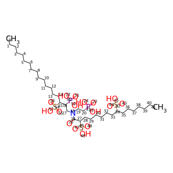 CCCCCCCCCCCCCCCC(C(CN(CCP(=O)(O)O)C(=O)C(CCCCCCC(CCCCCCC)S(=O)(=O)O)S(=O)(=O)O)P(=O)(O)O)S(=O)(=O)O